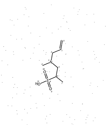 C=CCN(C)CC(C)S(=O)(=O)O